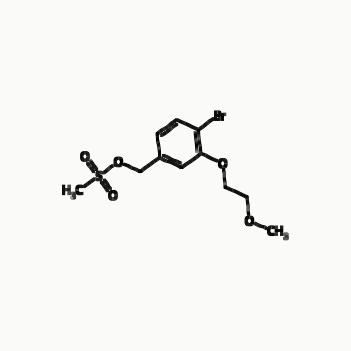 COCCOc1cc(COS(C)(=O)=O)ccc1Br